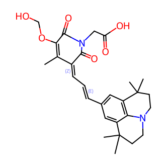 CC1=C(OCO)C(=O)N(CC(=O)O)C(=O)/C1=C\C=C\c1cc2c3c(c1)C(C)(C)CCN3CCC2(C)C